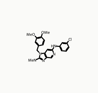 CNc1nc2cnc(Nc3cccc(Cl)c3)cc2n1Cc1ccc(OC)c(OC)c1